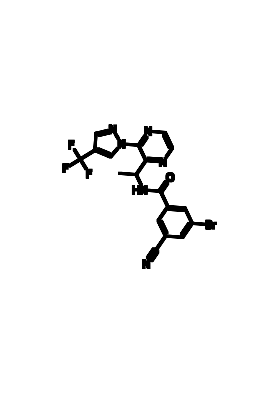 CC(NC(=O)c1cc(Br)cc(C#N)c1)c1nccnc1-n1cc(C(F)(F)F)cn1